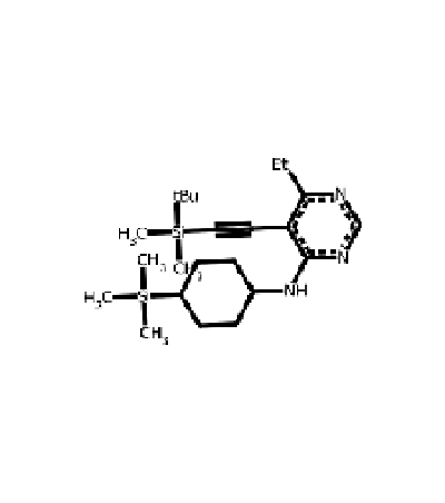 CCc1ncnc(NC2CCC([Si](C)(C)C)CC2)c1C#C[Si](C)(C)C(C)(C)C